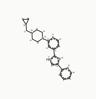 c1ccc(-c2c[nH]c(-c3ccnc(N4CCN(CC5CC5)CC4)c3)n2)nc1